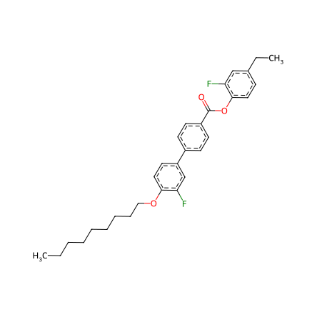 CCCCCCCCCOc1ccc(-c2ccc(C(=O)Oc3ccc(CC)cc3F)cc2)cc1F